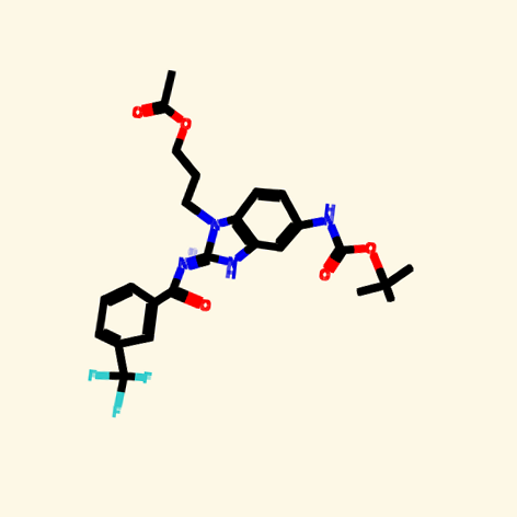 CC(=O)OCCCn1/c(=N/C(=O)c2cccc(C(F)(F)F)c2)[nH]c2cc(NC(=O)OC(C)(C)C)ccc21